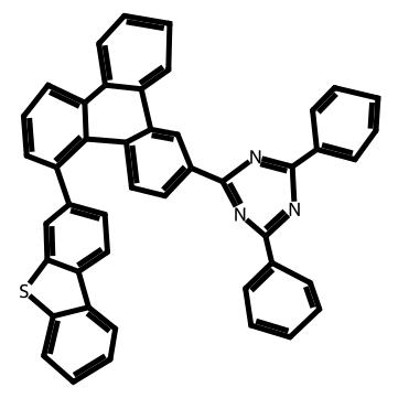 c1ccc(-c2nc(-c3ccccc3)nc(-c3ccc4c(c3)c3ccccc3c3cccc(-c5ccc6c(c5)sc5ccccc56)c34)n2)cc1